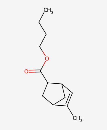 CCCCOC(=O)C1CC2CC1C=C2C